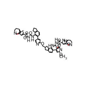 COc1cc(-c2ccc3c(c2NC(=O)NS(=O)(=O)c2cc4n(n2)C2CCN(CC2)C4)CC(COc2cc(-c4ccc5c(c4NC(=O)NS(=O)(=O)c4cc6c(s4)C4CCN(CC4)C6)CCC5)ccn2)C3)ccn1